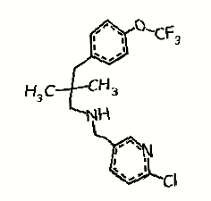 CC(C)(CNCc1ccc(Cl)nc1)Cc1ccc(OC(F)(F)F)cc1